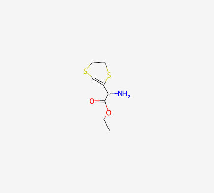 CCOC(=O)C(N)C1=CSCCS1